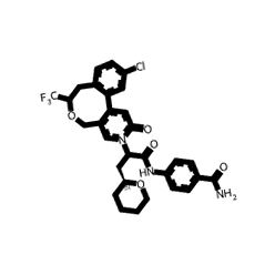 NC(=O)c1ccc(NC(=O)C(C[C@@H]2CCCCO2)n2cc3c(cc2=O)-c2cc(Cl)ccc2CC(C(F)(F)F)OC3)cc1